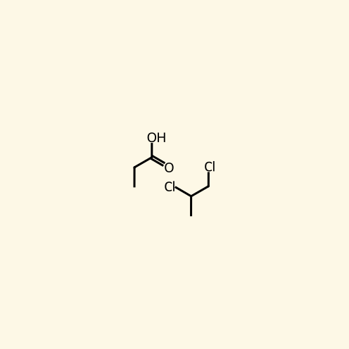 CC(Cl)CCl.CCC(=O)O